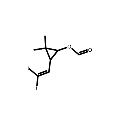 CC1(C)C(C=C(I)I)C1OC=O